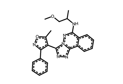 COCC(C)Nc1nn2c(-c3c(-c4ccccc4)noc3C)nnc2c2ccccc12